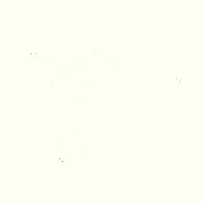 CCC(C)(C(c1ccccc1)C(C)(C)CC1(C(=O)OC)CC1(C)SCCCN(C)C)C(C)(C)C#N